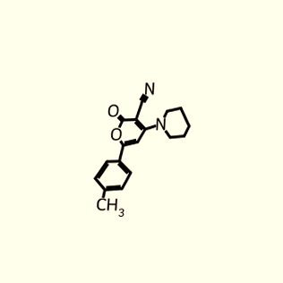 Cc1ccc(-c2cc(N3CCCCC3)c(C#N)c(=O)o2)cc1